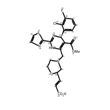 COC(=O)C1=C(CN2CCOC(/C=C/C(=O)O)C2)NC(c2nccs2)=N[C@H]1c1cccc(F)c1Cl